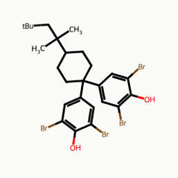 CC(C)(C)CC(C)(C)C1CCC(c2cc(Br)c(O)c(Br)c2)(c2cc(Br)c(O)c(Br)c2)CC1